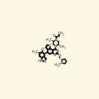 C=CC(=O)N1C[C@H](C)N(c2nc(OC[C@@H]3CCCN3C)nc3cc(-c4c(Cl)c(C)cc5[nH]ncc45)c4ccoc4c23)C[C@H]1C